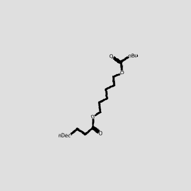 CCCCCCCCCCCCC(=O)OCCCCCCOC(=O)CCCC